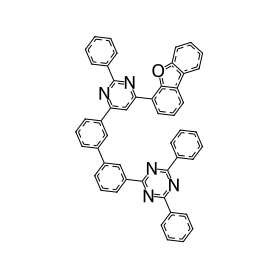 c1ccc(-c2nc(-c3cccc(-c4cccc(-c5nc(-c6ccccc6)nc(-c6ccccc6)n5)c4)c3)cc(-c3cccc4c3oc3ccccc34)n2)cc1